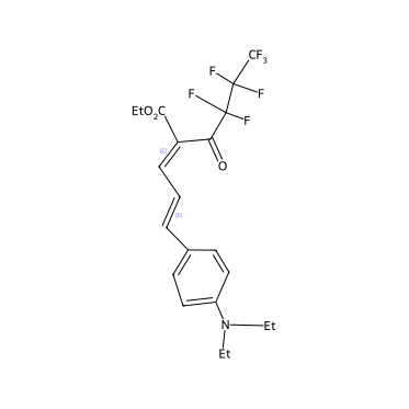 CCOC(=O)/C(=C/C=C/c1ccc(N(CC)CC)cc1)C(=O)C(F)(F)C(F)(F)C(F)(F)F